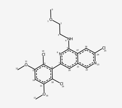 COCCNc1nc(-c2c(Cl)c(OC)cc(OC)c2Cl)cc2cnc(Cl)cc12